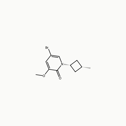 COc1cc(Br)cn([C@H]2C[C@@H](C)C2)c1=O